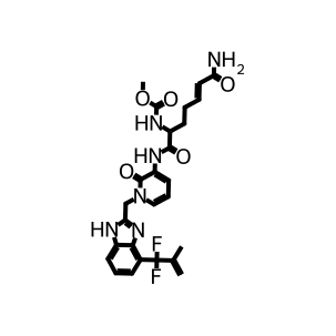 C=C(C)C(F)(F)c1cccc2[nH]c(Cn3cccc(NC(=O)C(CCC=CC(N)=O)NC(=O)OC)c3=O)nc12